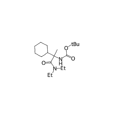 CCN(CC)C(=O)C(C)(NC(=O)OC(C)(C)C)C1CCCCC1